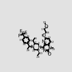 CCC1CN(c2nc(=O)n(C)c3ccc(OCCOC)nc23)[C@@H](CC)CN1C(C)c1ccc(C(F)(F)F)cc1